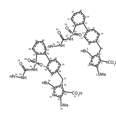 CCCCc1nc(SC)c(C(=O)O)n1Cc1ccc(-c2ccccc2S(=O)(=O)NC(=O)NCCC)cc1.CCCCc1nc(SC)c(C(=O)O)n1Cc1ccc(-c2ccccc2S(=O)(=O)NC(=O)NCCC)cc1